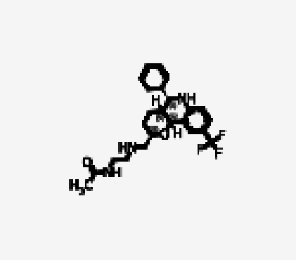 CC(=O)NCCNC[C@H]1CC[C@@H]2[C@H](O1)c1cc(C(F)(F)F)ccc1N[C@H]2C1C=CC=CC1